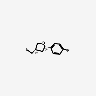 Fc1ccc([C@@H]2C[C@@H](CI)CO2)cc1